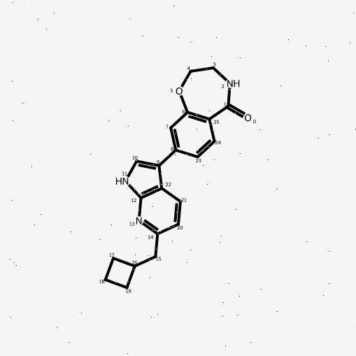 O=C1NCCOc2cc(-c3c[nH]c4nc(CC5CCC5)ccc34)ccc21